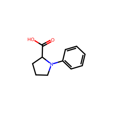 O=C(O)C1CCCN1c1ccccc1